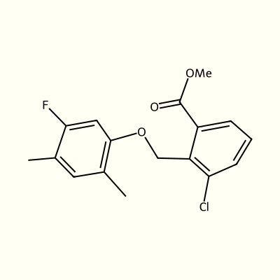 COC(=O)c1cccc(Cl)c1COc1cc(F)c(C)cc1C